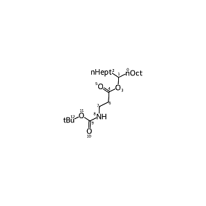 CCCCCCCCC(CCCCCCC)OC(=O)CCNC(=O)OC(C)(C)C